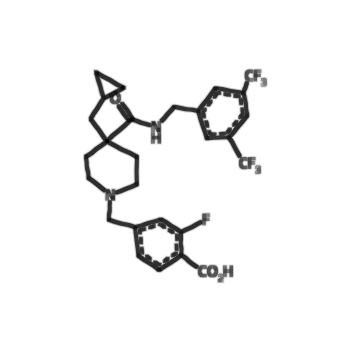 O=C(O)c1ccc(CN2CCC(CC3CC3)(C(=O)NCc3cc(C(F)(F)F)cc(C(F)(F)F)c3)CC2)cc1F